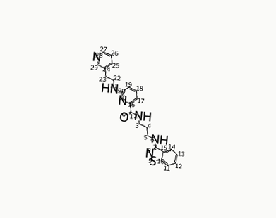 O=C(NCCCNc1nsc2ccccc12)c1cccc(NCCc2cccnc2)n1